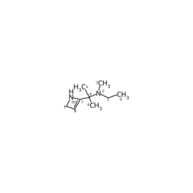 CCN(C)C(C)(C)C1=CCN1